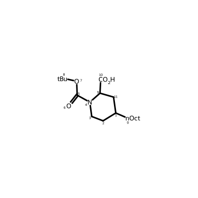 CCCCCCCCC1CCN(C(=O)OC(C)(C)C)C(C(=O)O)C1